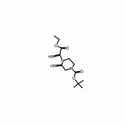 CCOC(=O)C(=N)N1CCN(C(=O)OC(C)(C)C)CC1=N